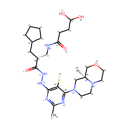 Cc1nc(NNC(=O)[C@@H](CNC(=O)CCC(O)O)CC2CCCC2)c(F)c(N2CCN3CCOC[C@@H]3C2)n1